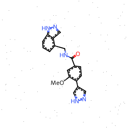 COc1cc(C(=O)NCc2cccc3[nH]ncc23)ccc1-c1cn[nH]c1